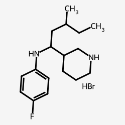 Br.CCC(C)CC(Nc1ccc(F)cc1)C1CCCNC1